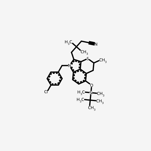 CC1Cc2c(O[Si](C)(C)C(C)(C)C)ccc3c2c(c(CC(C)(C)CC#N)n3Cc2ccc(Cl)cc2)S1